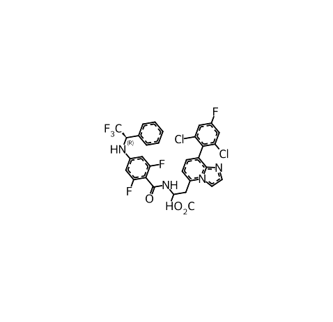 O=C(NC(Cc1ccc(-c2c(Cl)cc(F)cc2Cl)c2nccn12)C(=O)O)c1c(F)cc(N[C@H](c2ccccc2)C(F)(F)F)cc1F